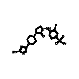 CC(C)c1nsc(N2CCC(N3CC[C@H](Nc4ccc(S(=O)(=O)C(C)C)cc4F)C3=O)CC2)n1